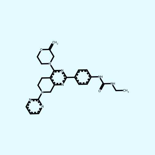 C=C1CN(c2nc(-c3ccc(NC(=O)NCC)cc3)nc3c2CCN(c2ncccn2)C3)CCO1